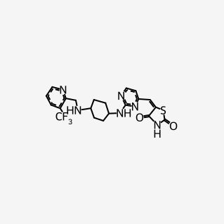 O=C1NC(=O)/C(=C\c2ccnc(NC3CCC(NCc4ncccc4C(F)(F)F)CC3)n2)S1